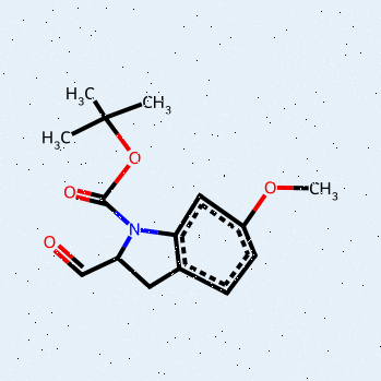 COc1ccc2c(c1)N(C(=O)OC(C)(C)C)C(C=O)C2